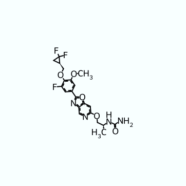 COc1cc(-c2nc3cnc(OC[C@H](C)NC(N)=O)cc3o2)cc(F)c1OC[C@H]1CC1(F)F